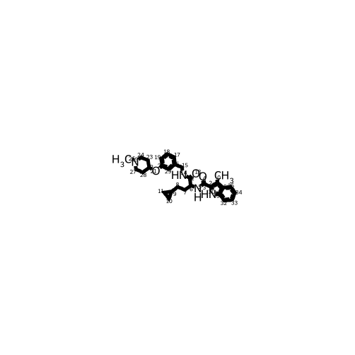 Cc1c(C(=O)NC(CCC2CC2)C(=O)NCc2cccc(OC3CCN(C)CC3)c2)[nH]c2ccccc12